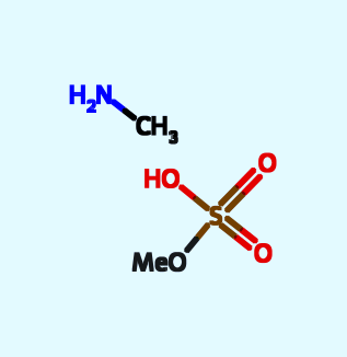 CN.COS(=O)(=O)O